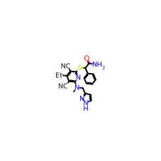 CCc1c(C#N)c(SC(C(N)=O)c2ccccc2)nc(N(C)Cc2cc[nH]n2)c1C#N